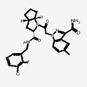 Cc1ccc2c(c1)c(C(N)=O)nn2CC(=O)N1[C@H](C(=O)NCc2cccc(Cl)c2F)C[C@@H]2CCC[C@@H]21